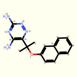 CC(C)(Oc1ccc2ccccc2c1)c1nnc(N)nc1N